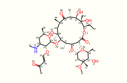 CC[C@H]1OC(=O)[C@H](C)[C@@H](O[C@H]2C[C@@](C)(OC)[C@@H](O)[C@H](C)O2)[C@H](C)[C@@H](O[C@@H]2O[C@H](C)C[C@H](NC)[C@H]2O/C=C/C(C)=O)[C@@](C)(OC)C[C@@H](C)C(=O)[C@H](C)[C@@H](O)[C@]1(C)O